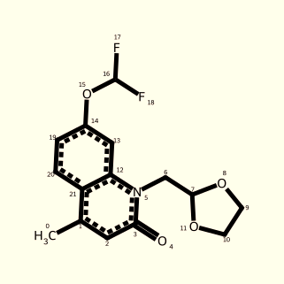 Cc1cc(=O)n(CC2OCCO2)c2cc(OC(F)F)ccc12